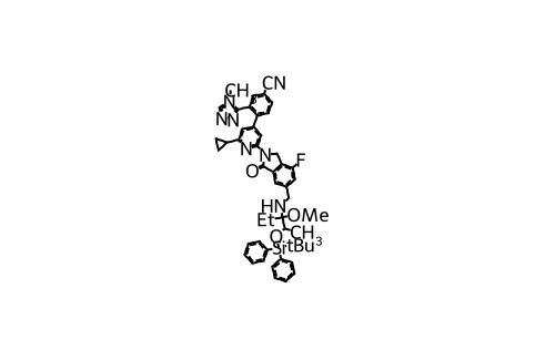 CCC(NCc1cc(F)c2c(c1)C(=O)N(c1cc(-c3ccc(C#N)cc3-c3nncn3C)cc(C3CC3)n1)C2)(OC)C(C)O[Si](c1ccccc1)(c1ccccc1)C(C)(C)C